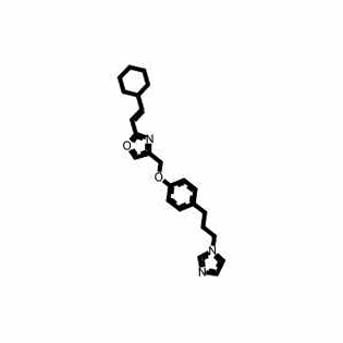 C(=C\C1CCCCC1)/c1nc(COc2ccc(CCCn3ccnc3)cc2)co1